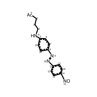 CC(=O)CCCNc1ccc(N=Nc2ccc(N=O)cc2)cc1